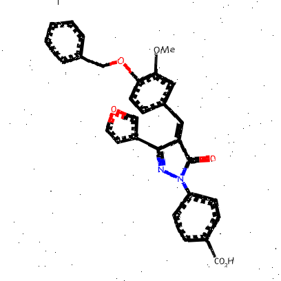 COc1cc(C=C2C(=O)N(c3ccc(C(=O)O)cc3)N=C2c2ccoc2)ccc1OCc1ccccc1